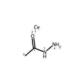 CC(=O)NN.[Ce]